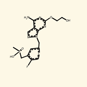 CP(=O)(O)Cc1cc(Cn2ncc3c(N)nc(OCCO)nc32)ccc1F